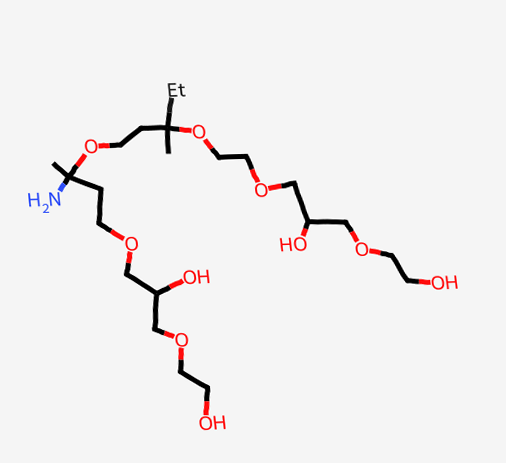 CCC(C)(CCOC(C)(N)CCOCC(O)COCCO)OCCOCC(O)COCCO